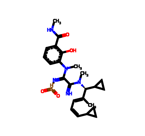 CNC(=O)c1cccc(N(C)/C(=N/[SH](=O)=O)C(=N)N(C)[C@@H](/C(C)=C/C=C\C2CC2)C2CC2)c1O